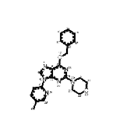 Cc1ccc(-n2cnc3c(OCc4ccccc4)nc(N4CCOCC4)nc32)nc1